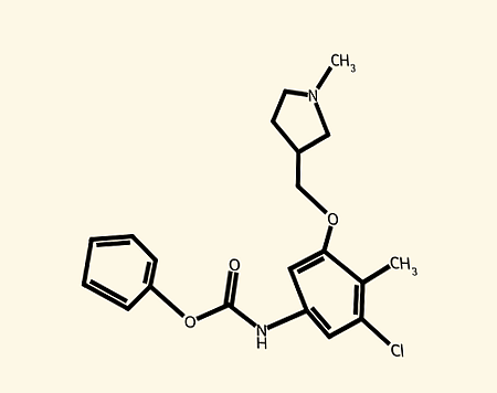 Cc1c(Cl)cc(NC(=O)Oc2ccccc2)cc1OCC1CCN(C)C1